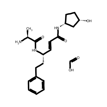 C[C@H](N)C(=O)N[C@H](C=CC(=O)N[C@@H]1CC[C@H](O)C1)CCc1ccccc1.O=CO